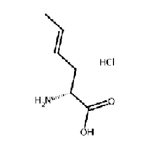 CC=CC[C@@H](N)C(=O)O.Cl